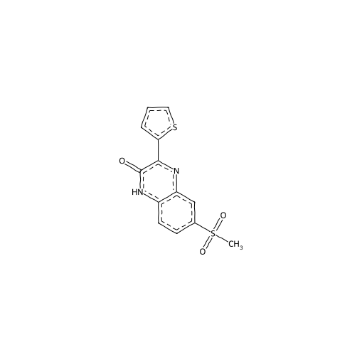 CS(=O)(=O)c1ccc2[nH]c(=O)c(-c3cccs3)nc2c1